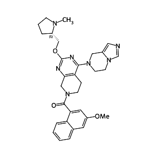 COc1cc(C(=O)N2CCc3c(nc(OC[C@@H]4CCCN4C)nc3N3CCn4cncc4C3)C2)c2ccccc2c1